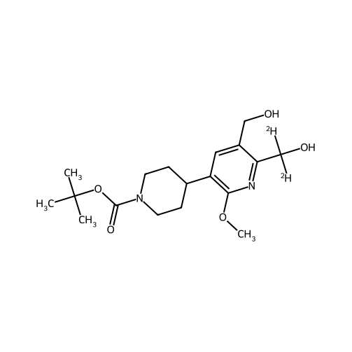 [2H]C([2H])(O)c1nc(OC)c(C2CCN(C(=O)OC(C)(C)C)CC2)cc1CO